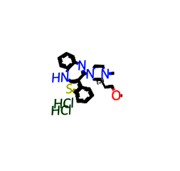 COCC[C@H]1CN(C2=Nc3ccccc3Nc3sc4ccccc4c32)CCN1C.Cl.Cl